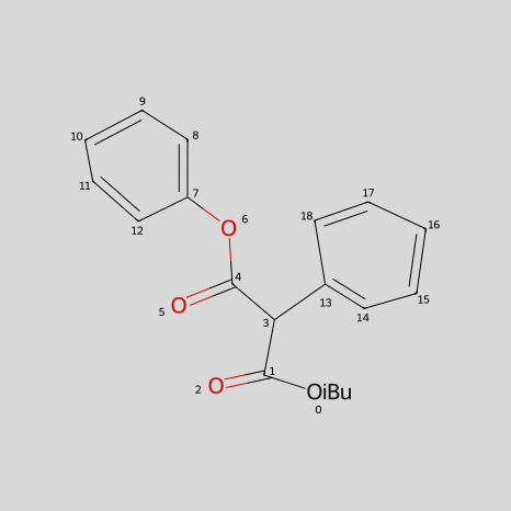 CC(C)COC(=O)C(C(=O)Oc1ccccc1)c1ccccc1